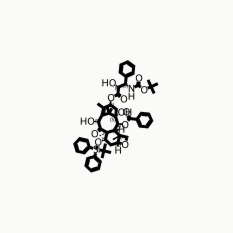 CC1=C2[C@@H](O)C(=O)[C@]3(C)[C@@H](O[Si](c4ccccc4)(c4ccccc4)C(C)(C)C)C[C@H]4OC[C@@]4(C)[C@H]3[C@H](OC(=O)c3ccccc3)[C@](O)(C[C@@H]1OC(=O)[C@H](O)[C@@H](NC(=O)OC(C)(C)C)c1ccccc1)C2(C)C